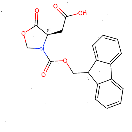 O=C(O)C[C@@H]1C(=O)OCN1C(=O)OCC1c2ccccc2-c2ccccc21